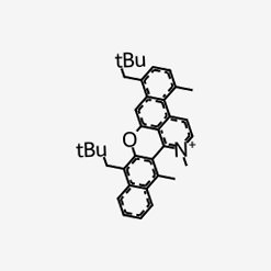 Cc1c2c(c(CC(C)(C)C)c3ccccc13)Oc1cc3c(CC(C)(C)C)ccc(C)c3c3cc[n+](C)c-2c13